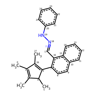 CC1=C(C)C(C)C(c2ccc3ccccc3c2/C=N/Nc2ccccc2)=C1C